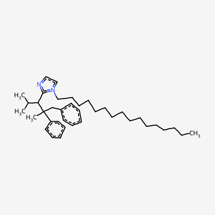 CCCCCCCCCCCCCCCCn1ccnc1C(C(C)C)C(C)(Cc1ccccc1)c1ccccc1